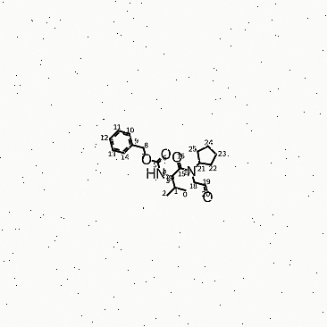 CC(C)[C@H](NC(=O)OCc1ccccc1)C(=O)N(CC=O)C1CCCC1